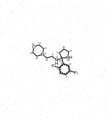 Fc1ccc(F)c([C@]2(NCCN3CCOCC3)CCCN2)c1